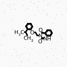 CCC(C)c1ccccc1OCCn1c(=O)[nH]c2ccccc2c1=O